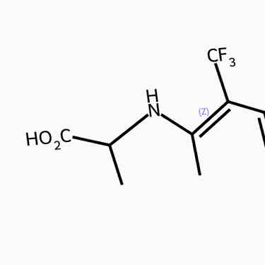 C=C/C(=C(\C)NC(C)C(=O)O)C(F)(F)F